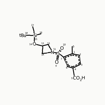 Cc1ccc(C(=O)O)cc1S(=O)(=O)N1CC(O[Si](C)(C)C(C)(C)C)C1